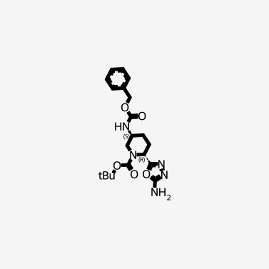 CC(C)(C)OC(=O)N1C[C@@H](NC(=O)OCc2ccccc2)CC[C@@H]1c1nnc(N)o1